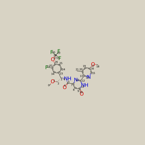 COC[C@@H](NC(=O)c1cc(=O)[nH]c(-c2ncc(OC)cc2C)n1)c1ccc(OC(F)(F)F)c(F)c1